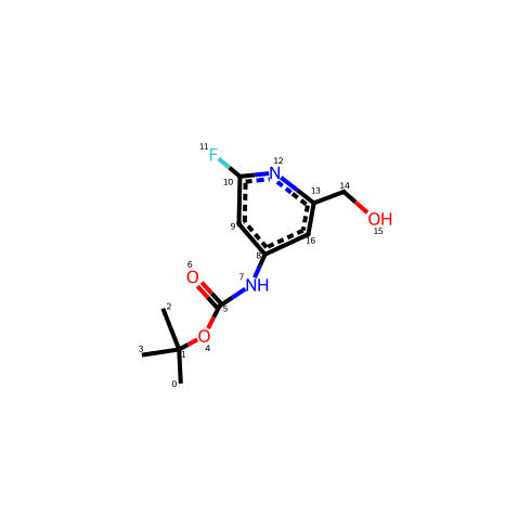 CC(C)(C)OC(=O)Nc1cc(F)nc(CO)c1